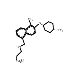 CCOC(=O)CCNCc1cccc2c(C(F)(F)F)c(O[C@H]3CC[C@@H](C(F)(F)F)CC3)ccc12